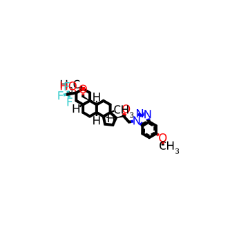 COC[C@]12CC[C@](O)(C(F)(F)F)C[C@H]1CC[C@H]1[C@@H]3CC[C@H](C(=O)Cn4nnc5cc(OC)ccc54)[C@@]3(C)CC[C@@H]12